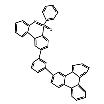 O=S1(c2ccccc2)=Nc2ccccc2-c2cc(-c3cccc(-c4ccc5c6ccccc6c6ccccc6c5c4)c3)ccc21